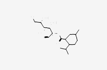 CC1CCC(C(C)C)C(C(=O)O[C@@H](C=O)[C@@H](O)[C@H](O)[C@H](O)CO)C1